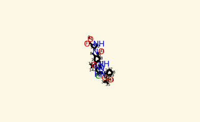 COC(=O)C1CC(N2Cc3cc(OC(C)C)c(Nc4ncc(Cl)c(Nc5ccccc5S(=O)(=O)C(C)C)n4)cc3C2=O)CN1